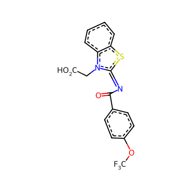 O=C(O)Cn1c(=NC(=O)c2ccc(OC(F)(F)F)cc2)sc2ccccc21